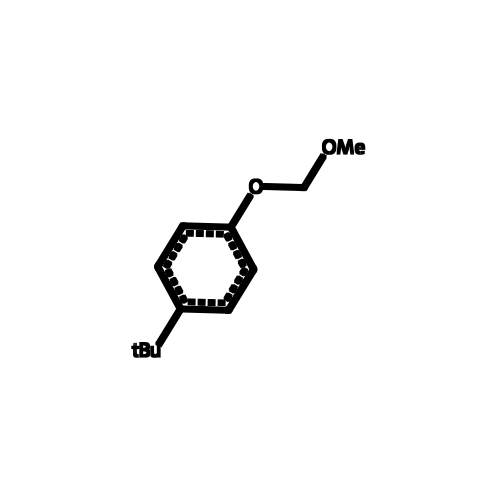 COCOc1ccc(C(C)(C)C)cc1